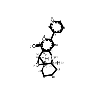 O=c1oc(-c2cccnc2)cc2c1[C@@H]1O[C@]13CCCC[C@@H]3O2